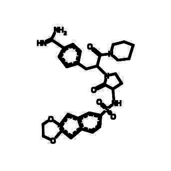 N=C(N)c1ccc(CC(C(=O)N2CCCCC2)N2CCC(NS(=O)(=O)c3ccc4cc5c(cc4c3)OCCO5)C2=O)cc1